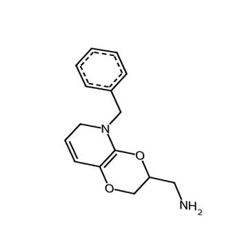 NCC1COC2=C(O1)N(Cc1ccccc1)CC=C2